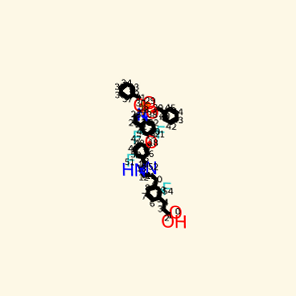 O=C(O)CCc1cccc(Cc2c[nH]c(-c3cc(Oc4c(F)cc5c(ccn5P(=O)(OCc5ccccc5)OCc5ccccc5)c4F)ccc3F)n2)c1F